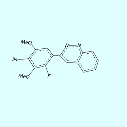 COc1cc(-c2cc3ccccc3nn2)c(F)c(OC)c1C(C)C